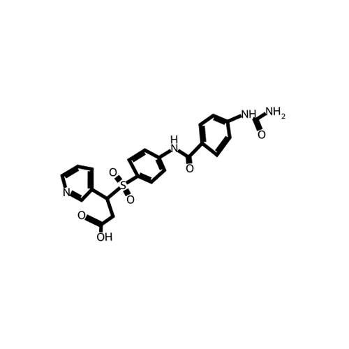 NC(=O)Nc1ccc(C(=O)Nc2ccc(S(=O)(=O)C(CC(=O)O)c3cccnc3)cc2)cc1